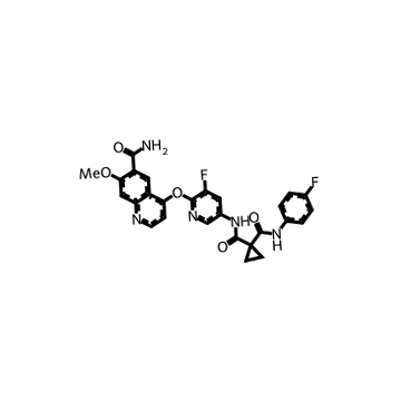 COc1cc2nccc(Oc3ncc(NC(=O)C4(C(=O)Nc5ccc(F)cc5)CC4)cc3F)c2cc1C(N)=O